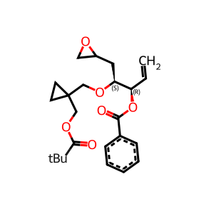 C=C[C@@H](OC(=O)c1ccccc1)[C@H](CC1CO1)OCC1(COC(=O)C(C)(C)C)CC1